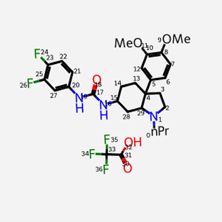 CCCN1CCC2(c3ccc(OC)c(OC)c3)CCC(NC(=O)Nc3ccc(F)c(F)c3)CC12.O=C(O)C(F)(F)F